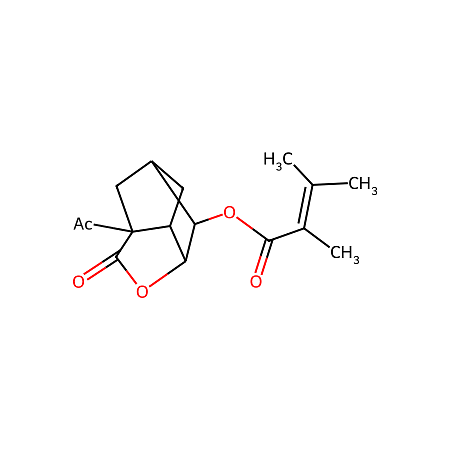 CC(=O)C12CC3CC1C(OC2=O)C3OC(=O)C(C)=C(C)C